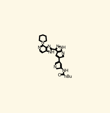 CCCCC(=O)Nc1cncc(-c2cnc3[nH]nc(-c4nc5c(N6CCCCC6)nccc5[nH]4)c3c2)c1